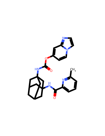 Cc1cccc(C(=O)NC23CC4CC(CC(NC(=O)Oc5ccn6ccnc6c5)(C4)C2)C3)n1